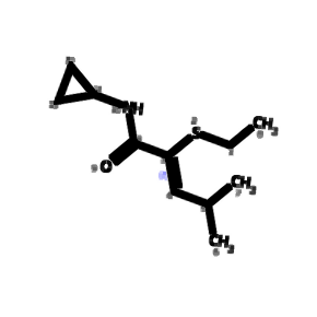 CCS/C(=C\C(C)C)C(=O)NC1CC1